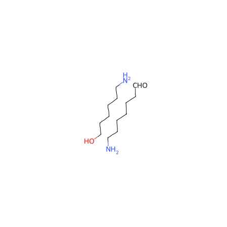 NCCCCCCC=O.NCCCCCCO